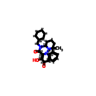 CC1(c2ccccc2)CCCC2N(CC3CCCCC3)C(=O)c3c(O)c(=O)ccn3N21